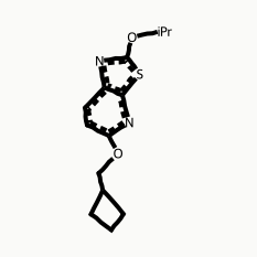 CC(C)Oc1nc2ccc(OCC3CCC3)nc2s1